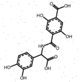 O=C(O)c1cc(O)c(C(=O)NC(C(=O)O)c2ccc(O)c(O)c2)cc1O